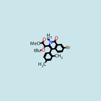 COC(=O)C(OC(C)(C)C)c1c(-c2ccc(C)cc2C)c2ccc(Br)cc2c(=O)n1C